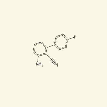 N#Cc1c(N)cccc1-c1ccc(F)cc1